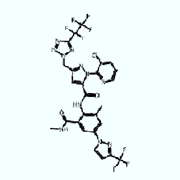 CNC(=O)c1cc(-n2ccc(C(F)(F)F)n2)cc(C)c1NC(=O)c1cc(Cn2nnc(C(F)(F)C(F)(F)F)n2)nn1-c1ncccc1Cl